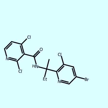 CCC(C)(NC(=O)c1c(Cl)ccnc1Cl)c1ncc(Br)cc1Cl